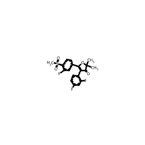 CC1(C)OC(c2ccc(S(C)(=O)=O)c(F)c2)=C(c2ccc(F)cc2F)C1=O